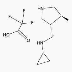 C[C@@H]1CNC[C@H]1CNC1CC1.O=C(O)C(F)(F)F